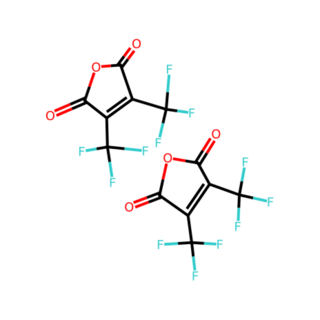 O=C1OC(=O)C(C(F)(F)F)=C1C(F)(F)F.O=C1OC(=O)C(C(F)(F)F)=C1C(F)(F)F